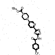 CC(C)(C)OC(=O)N1CCN(c2ccc(-c3nsc(NC(=O)c4ccc(C(F)(F)F)cc4)n3)nc2)CC1